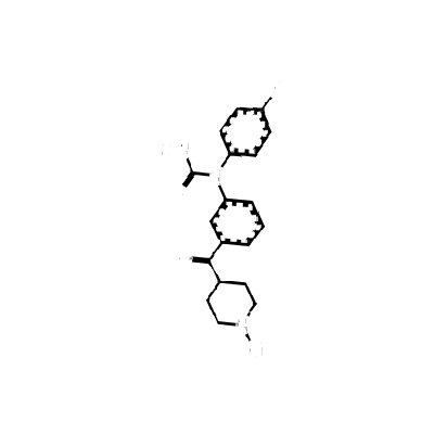 CN1CCC(C(=O)c2cccc(N(C(N)=O)c3ccc(Cl)cc3)c2)CC1